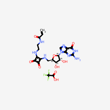 C=CC(=O)NCCNc1c(NC[C@H]2O[C@@H](n3cnc4c(=O)[nH]c(N)nc43)[C@H](O)[C@@H]2O)c(=O)c1=O.O=C(O)C(F)(F)F